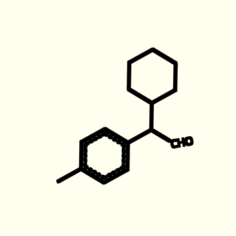 Cc1ccc(C(C=O)C2CCCCC2)cc1